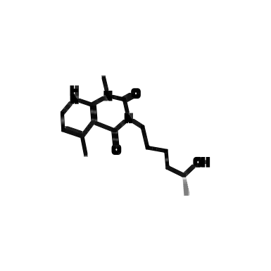 CC1=CCNc2c1c(=O)n(CCCC[C@@H](C)O)c(=O)n2C